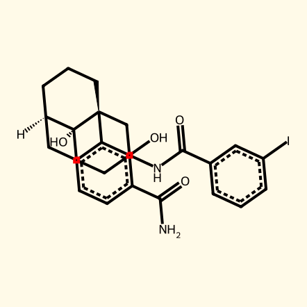 NC(=O)c1ccc2c(c1O)[C@]13CCC[C@H](C2)[C@]1(O)CCC(NC(=O)c1cccc(I)c1)C3